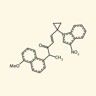 COc1cccc2c(C(C)C(=O)/C=C/C3(n4cc([N+](=O)[O-])c5ccccc54)CC3)cccc12